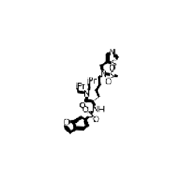 CC(C)CN(CC(C)C)C(=O)[C@H](CCCCN(Cc1cncs1)S(C)(=O)=O)NS(=O)(=O)c1ccc2ccoc2c1